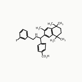 Cc1cc2c(cc1C(NCc1cccc(F)c1)c1ccc(C(=O)O)cc1)C(C)(C)CCC2(C)C